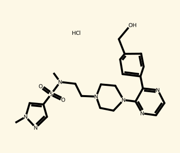 CN(CCN1CCN(c2nccnc2-c2ccc(CO)cc2)CC1)S(=O)(=O)c1cnn(C)c1.Cl